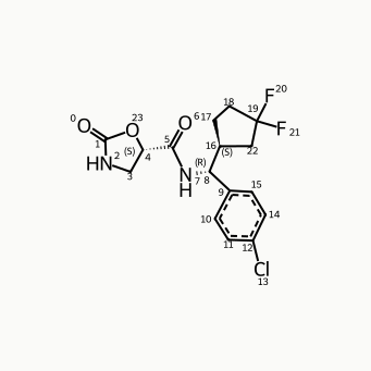 O=C1NC[C@@H](C(=O)N[C@@H](c2ccc(Cl)cc2)[C@H]2CCC(F)(F)C2)O1